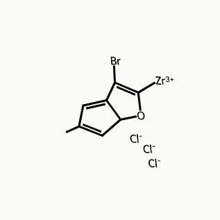 CC1=CC2O[C]([Zr+3])=C(Br)C2=C1.[Cl-].[Cl-].[Cl-]